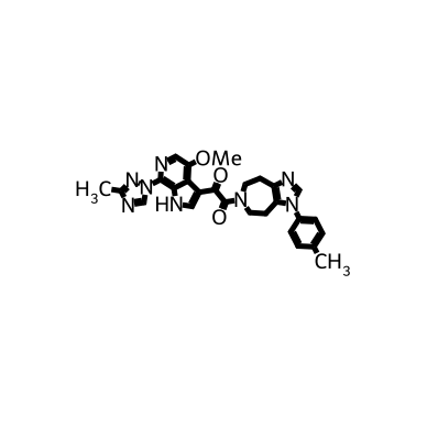 COc1cnc(-n2cnc(C)n2)c2[nH]cc(C(=O)C(=O)N3CCc4ncn(-c5ccc(C)cc5)c4CC3)c12